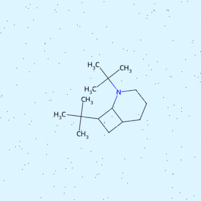 CC(C)(C)C1CC2CCCN(C(C)(C)C)C21